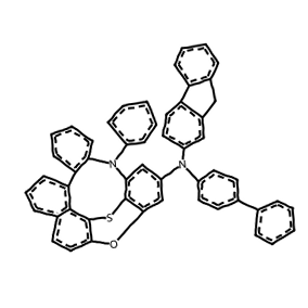 c1ccc(-c2ccc(N(c3ccc4c(c3)Cc3ccccc3-4)c3cc4c5c(c3)N(c3ccccc3)c3ccccc3-c3cccc6ccc(c(c36)S5)O4)cc2)cc1